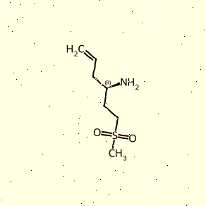 C=CC[C@@H](N)CCS(C)(=O)=O